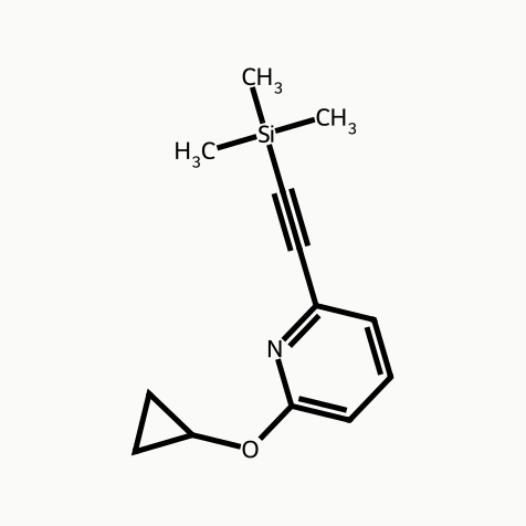 C[Si](C)(C)C#Cc1cccc(OC2CC2)n1